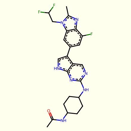 CC(=O)NC1CCC(Nc2ncc3c(-c4cc(F)c5nc(C)n(CC(F)F)c5c4)c[nH]c3n2)CC1